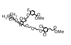 COC(=O)CCc1cc(Cl)c(OCCCOCCOCc2nn(COCC[Si](C)(C)C)c(C)c2CCCOc2cc(C(=O)OC)ccc2F)c(Cl)c1